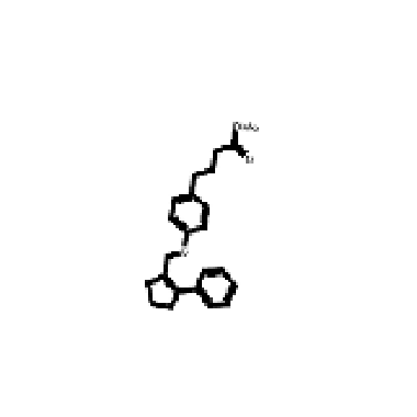 COC(=O)CCCc1ccc(OCC2=C(c3ccccc3)CCC2)cc1